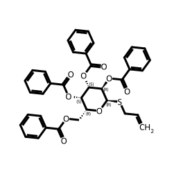 C=CCS[C@H]1O[C@H](COC(=O)c2ccccc2)[C@H](OC(=O)c2ccccc2)[C@H](OC(=O)c2ccccc2)[C@H]1OC(=O)c1ccccc1